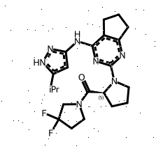 CC(C)c1cc(Nc2nc(N3CCC[C@H]3C(=O)N3CCC(F)(F)C3)nc3c2CCC3)n[nH]1